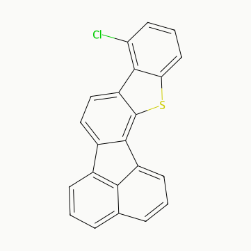 Clc1cccc2sc3c4c(ccc3c12)-c1cccc2cccc-4c12